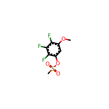 COc1cc(OS(C)(=O)=O)c(F)c(F)c1F